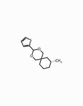 C[C@@H]1CCCC2(COC(c3cccs3)OC2)C1